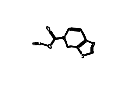 CC(C)(C)OC(=O)N1C=Cc2ncsc2C1